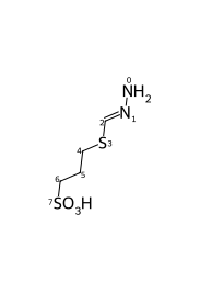 NN=CSCCCS(=O)(=O)O